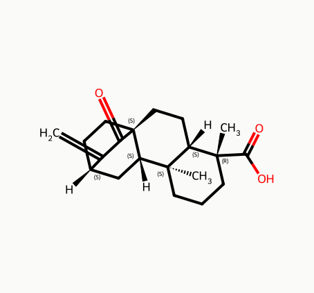 C=C1C(=O)[C@]23CC[C@H]1C[C@H]2[C@]1(C)CCC[C@@](C)(C(=O)O)[C@H]1CC3